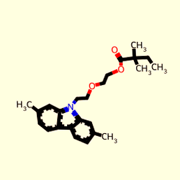 CCC(C)(C)C(=O)OCCOCCn1c2cc(C)ccc2c2ccc(C)cc21